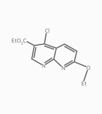 CCOC(=O)c1cnc2nc(OCC)ccc2c1Cl